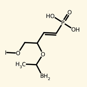 BC(C)OC(/C=C/P(=O)(O)O)COI